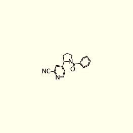 N#Cc1cc(C2CCCN2C(=O)c2ccccc2)ccn1